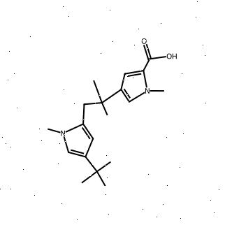 Cn1cc(C(C)(C)C)cc1CC(C)(C)c1cc(C(=O)O)n(C)c1